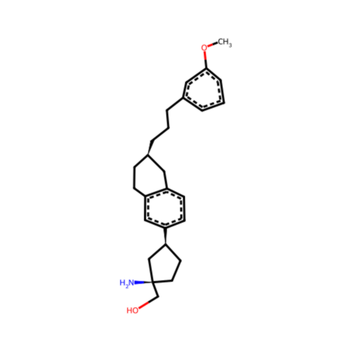 COc1cccc(CCC[C@@H]2CCc3cc([C@H]4CC[C@](N)(CO)C4)ccc3C2)c1